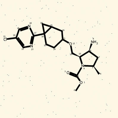 COC(=O)N1[C@H](C)C[C@H](N)[C@@H]1COC1CCC2(c3ncc(Cl)cn3)CC2C1